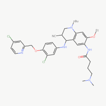 CCCCN1CC(C#N)C(Nc2ccc(OCc3cc(Cl)ccn3)c(Cl)c2)c2cc(NC(=O)CCCN(C)C)c(OCC)cc21